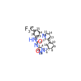 O=C([N-]c1c[n+](Cc2cccc(-c3cccnc3)c2)no1)Nc1cccc(C(F)(F)F)c1